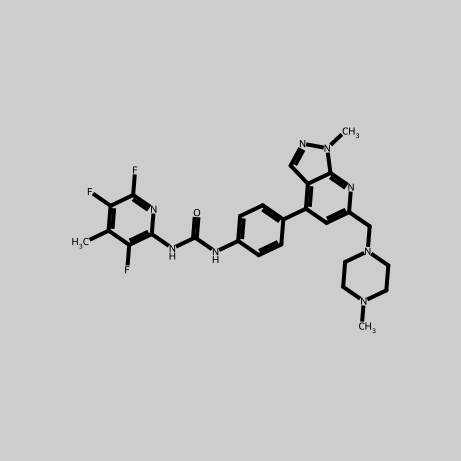 Cc1c(F)c(F)nc(NC(=O)Nc2ccc(-c3cc(CN4CCN(C)CC4)nc4c3cnn4C)cc2)c1F